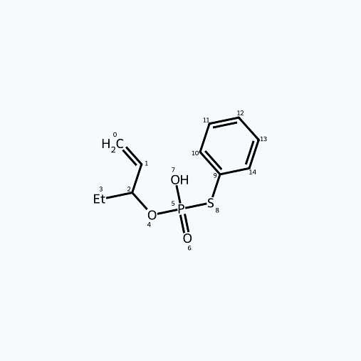 C=CC(CC)OP(=O)(O)Sc1ccccc1